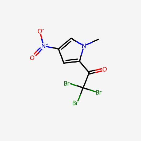 Cn1cc([N+](=O)[O-])cc1C(=O)C(Br)(Br)Br